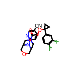 N#Cc1ccc(N2C3COCC2CN(C(=O)COC2(c4ccc(F)c(F)c4)CC2)C3)nc1